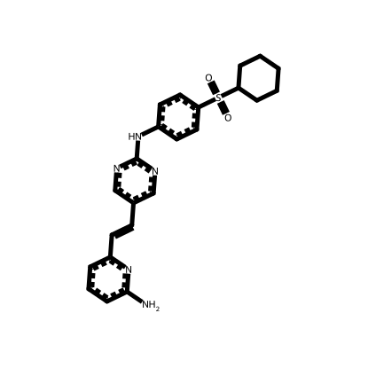 Nc1cccc(/C=C/c2cnc(Nc3ccc(S(=O)(=O)C4CCCCC4)cc3)nc2)n1